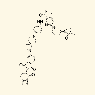 C=C1CCC(N2C(=O)c3ccc(N4CCC5(CCN(c6ccc(Nc7nc(N8CCC[C@H](N9CCN(C)C9=O)C8)cnc7C(N)=O)cc6)CC5)C4)cc3C2=O)C(=O)N1